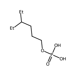 CCC(CC)CCCOP(=O)(O)O